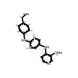 COc1cnccc1Nc1cnc(Nc2ccc(CC(C)C)cc2)nc1